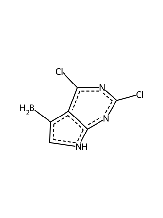 Bc1c[nH]c2nc(Cl)nc(Cl)c12